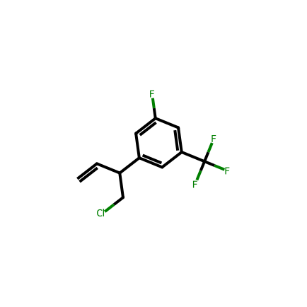 C=CC(CCl)c1cc(F)cc(C(F)(F)F)c1